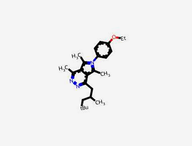 CCOc1ccc(-n2c(C)c3c(C)nnc(CC(C)CC(C)(C)C)c3c2C)cc1